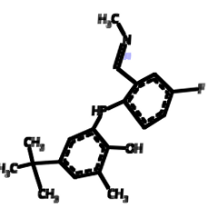 C/N=C/c1cc(F)ccc1Pc1cc(C(C)(C)C)cc(C)c1O